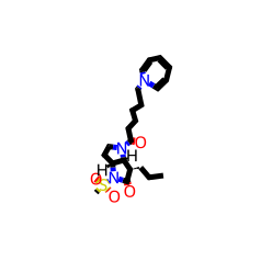 CCC[C@@H]1C(=O)N(S(C)(=O)=O)[C@@H]2CCN(C(=O)CCCCCN3C=CC=CC=C3)[C@@H]12